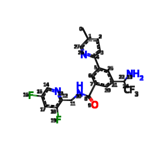 Cc1ccc(-c2cc(C(=O)NCc3ncc(F)cc3F)cc(C(N)C(F)(F)F)c2)nc1